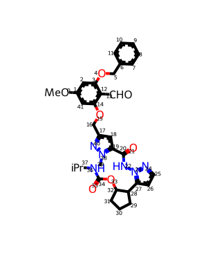 COc1cc(OCc2ccccc2)c(C=O)c(OCc2cc(C(=O)Nn3nccc3C3CCCC3OC(=O)NC(C)C)n(C)n2)c1